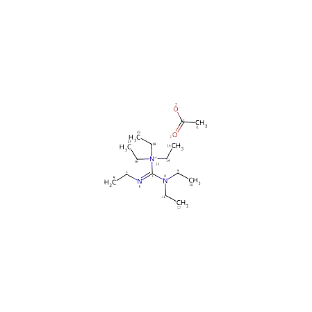 CC(=O)[O-].CCN=C(N(CC)CC)[N+](CC)(CC)CC